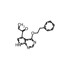 C=CC(=O)c1c[nH]c2ncnc(OCCc3ccccc3)c12